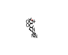 Cc1nc(-n2cncn2)ccc1C(=O)C(=CN(C)C)C(=O)C(C)(C)C